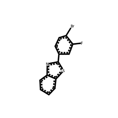 Fc1cc(-c2nc3ccccc3s2)ccc1Br